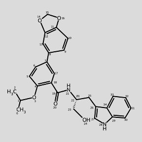 CC(C)Oc1ccc(-c2ccc3c(c2)OCO3)cc1C(=O)N[C@@H](CO)Cc1c[nH]c2ccccc12